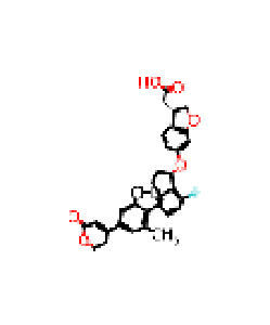 Cc1cc(C2=CC(=O)OCC2)cc(C)c1-c1ccc(F)c2c1CC[C@H]2Oc1ccc2c(c1)OC[C@H]2CC(=O)O